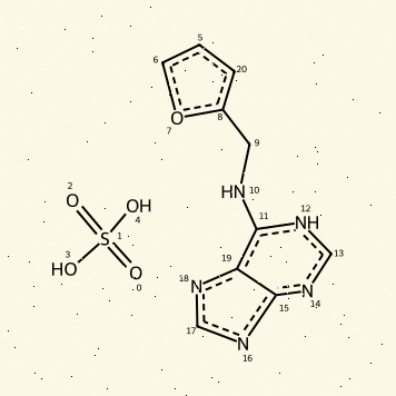 O=S(=O)(O)O.c1coc(CNc2[nH]cnc3ncnc2-3)c1